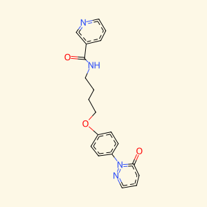 O=C(NCCCCOc1ccc(-n2ncccc2=O)cc1)c1cccnc1